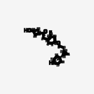 O=C(Cc1ccc(OCC[C@@H]2C[C@@H]2C2CCNCC2)cc1F)N1CC(O)C1